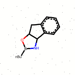 CCCCB1NC2c3ccccc3CC2O1